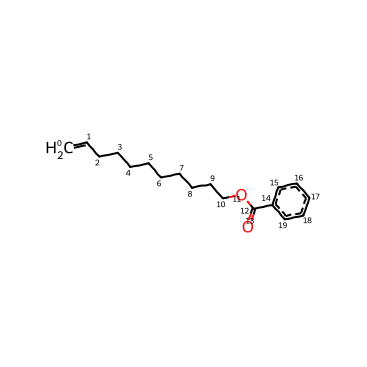 C=CCCCCCCCCCOC(=O)c1ccccc1